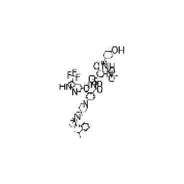 CC(C)c1ccccc1[C@@H]1CCC[C@@H]1N1CC2(CCN(c3ccc(C(=O)NS(=O)(=O)c4cc5c(c([N+](=O)[O-])c4)N[C@@H]([C@H]4CC[C@](C)(O)CC4)CO5)c(Oc4cnc5[nH]cc(C(F)(F)F)c5c4)c3)CC2)C1